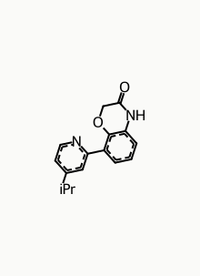 CC(C)c1ccnc(-c2cccc3c2OCC(=O)N3)c1